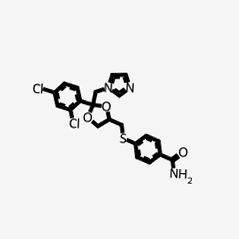 NC(=O)c1ccc(SCC2COC(Cn3ccnc3)(c3ccc(Cl)cc3Cl)O2)cc1